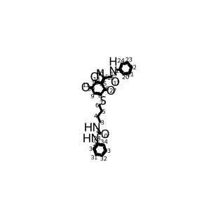 O=C(NCCCCSC1=CC(=O)c2onc(C(=O)Nc3ccccc3)c2C1=O)Nc1ccccc1